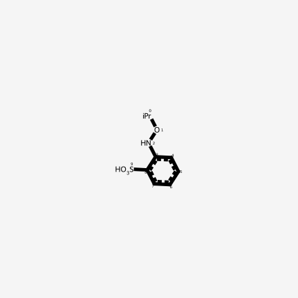 CC(C)ONc1ccccc1S(=O)(=O)O